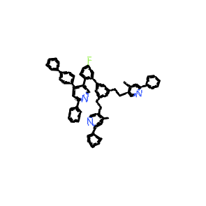 Cc1cc(-c2ccccc2)ncc1CCc1cc(CCc2cnc(-c3ccccc3)cc2C)cc(-c2cc(F)ccc2-c2cnc(-c3ccccc3)cc2-c2ccc(-c3ccccc3)cc2)c1